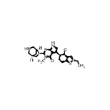 CCn1cc2c(Cl)c(-c3c[nH]c4nc(N5C[C@H]6CNC[C@@H]5C6)n(C)c(=O)c34)ccc2n1